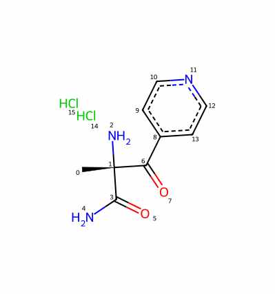 C[C@](N)(C(N)=O)C(=O)c1ccncc1.Cl.Cl